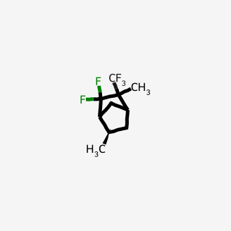 C[C@@H]1CC2CC1C(F)(F)C2(C)C(F)(F)F